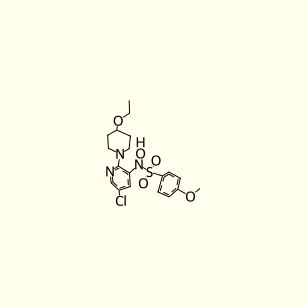 CCOC1CCN(c2ncc(Cl)cc2N(O)S(=O)(=O)c2ccc(OC)cc2)CC1